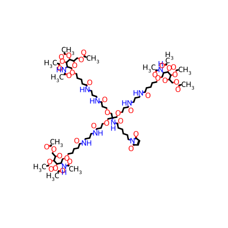 CC(=O)NC1C(OCCCCC(=O)NCCCNC(=O)CCOCC(COCCC(=O)NCCCNC(=O)CCCCOC2OC(COC(C)=O)C(OC(C)=O)C(OC(C)=O)C2NC(C)=O)(COCCC(=O)NCCCNC(=O)CCCCOC2OC(COC(C)=O)C(OC(C)=O)C(OC(C)=O)C2NC(C)=O)NC(=O)CCCCCN2C(=O)C=CC2=O)OC(COC(C)=O)C(OC(C)=O)C1OC(C)=O